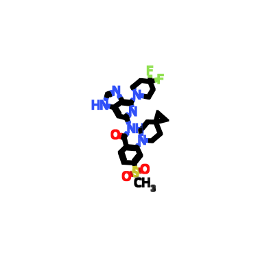 CS(=O)(=O)c1ccc(C(=O)Nc2cc3[nH]cnc3c(N3CCC(F)(F)CC3)n2)c(N2CCC3(CC2)CC3)c1